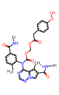 CCCNC(=O)c1cn2ncnc(N(C(=O)OCOC(=O)Cc3ccc(OO)cc3)c3cc(C(=O)NCC)ccc3C)c2c1C